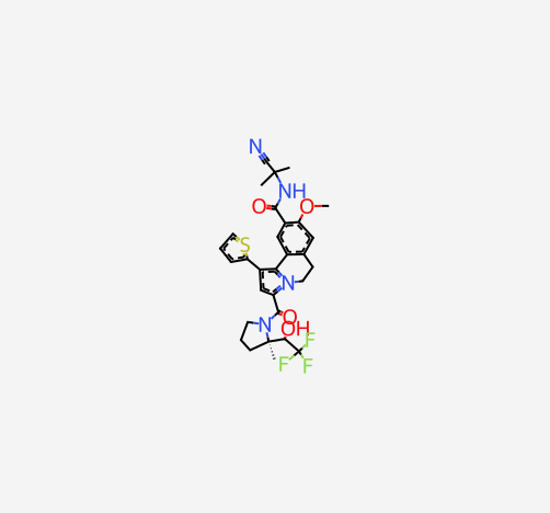 COc1cc2c(cc1C(=O)NC(C)(C)C#N)-c1c(-c3cccs3)cc(C(=O)N3CCC[C@]3(C)[C@H](O)C(F)(F)F)n1CC2